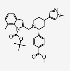 COC(=O)c1ccc([C@@H]2CC(c3cnn(C)c3)CCN2Cc2cc3cccc(C)c3n2C(=O)OC(C)(C)C)cc1